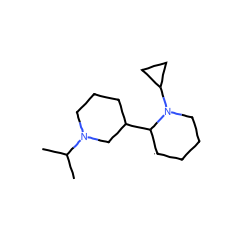 CC(C)N1CCCC(C2[CH]CCCN2C2CC2)C1